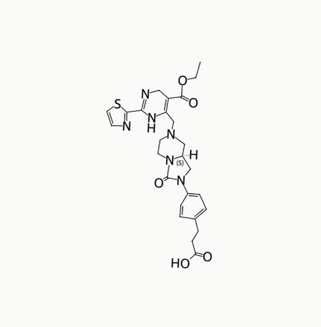 CCOC(=O)C1=C(CN2CCN3C(=O)N(c4ccc(CCC(=O)O)cc4)C[C@@H]3C2)NC(c2nccs2)=NC1